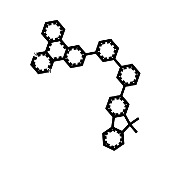 CC1(C)c2ccccc2-c2ccc(-c3cccc(-c4cccc(-c5ccc6c(c5)c5ccccc5c5nccnc65)c4)c3)cc21